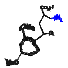 CCC(CC(N)C(=O)O)c1ccc(OC)cc1OC